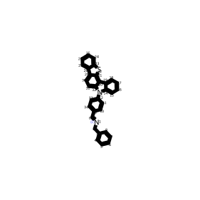 C(=N\Cc1ccccc1)/c1ccc(-n2c3ccccc3c3c4sc5ccccc5c4ccc32)cc1